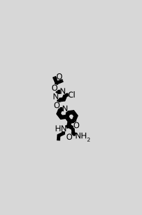 CCCNc1c(C(N)=O)oc2ccc3nc(Oc4cc(Cl)nc(OC5COC5)n4)ccc3c12